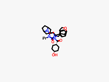 CC(C)N1C(=O)N(CC2CCOCC2)CC12CC1CCC(C2)N1CC[C@H](NC(=O)[C@H]1CC[C@@H](O)CC1)c1ccccc1